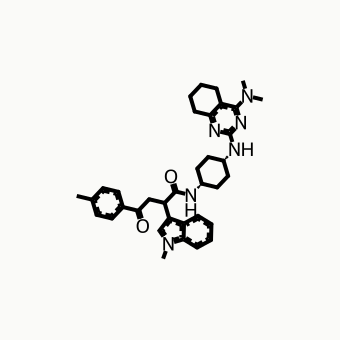 Cc1ccc(C(=O)CC(C(=O)N[C@H]2CC[C@@H](Nc3nc4c(c(N(C)C)n3)CCCC4)CC2)c2cn(C)c3ccccc23)cc1